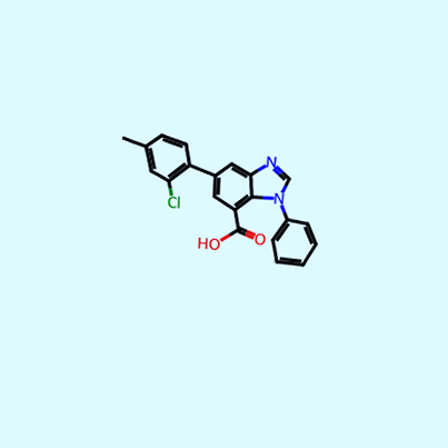 Cc1ccc(-c2cc(C(=O)O)c3c(c2)ncn3-c2ccccc2)c(Cl)c1